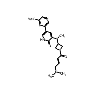 COc1cncc(-c2c[nH]c(=O)c(N(C)C3CN(C(=O)C=CCN(C)C)C3)c2)n1